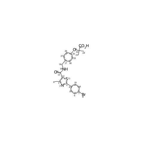 Cc1nc(-c2ccc(Br)cc2)sc1C(=O)NCc1ccc(OC(C)(C)C(=O)O)cc1